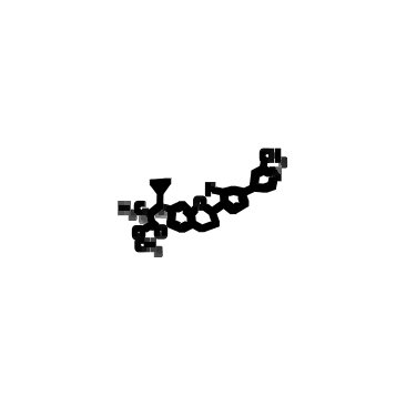 COC(=O)[C@@H](C)[C@H](c1ccc2c(c1)OC(c1ccc(-c3ccnc(C)c3)cc1F)CC2)C1CC1